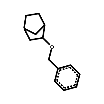 c1ccc(COC2CC3CCC2C3)cc1